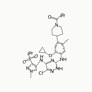 Cc1cc(NC2N=C(Nc3cn(C)nc3S(=O)(=O)C(C)C)C(Cl)=NN2)c(OC2CC2)cc1C1CCN(C(=O)C(C)C)CC1